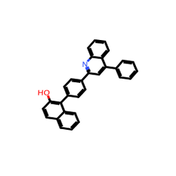 Oc1ccc2ccccc2c1-c1ccc(-c2cc(-c3ccccc3)c3ccccc3n2)cc1